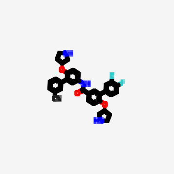 N#Cc1cccc(-c2cc(NC(=O)c3ccc(O[C@H]4CCNC4)c(-c4ccc(F)c(F)c4)c3)ccc2O[C@H]2CCNC2)c1